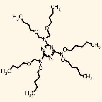 CCCCCON(COCCCC)c1nc(N(COCCCC)COCCCC)nc(N(OCCCCC)OCCCCC)n1